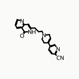 N#Cc1ccc(C2=CCN(CCCc3cc4ncccc4c(=O)[nH]3)CC2)cn1